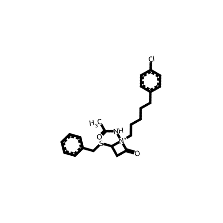 CC(=O)N[N+]1(CCCCCc2ccc(Cl)cc2)C(=O)CC1SCc1ccccc1